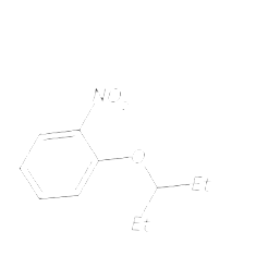 CCC(CC)Oc1ccccc1[N+](=O)[O-]